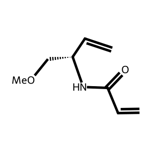 C=CC(=O)N[C@@H](C=C)COC